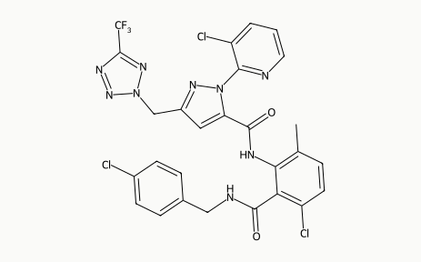 Cc1ccc(Cl)c(C(=O)NCc2ccc(Cl)cc2)c1NC(=O)c1cc(Cn2nnc(C(F)(F)F)n2)nn1-c1ncccc1Cl